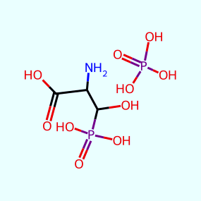 NC(C(=O)O)C(O)P(=O)(O)O.O=P(O)(O)O